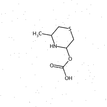 CC1CSCC(OC(=O)O)N1